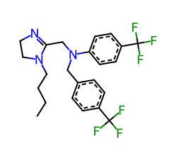 CCCCN1CCN=C1CN(Cc1ccc(C(F)(F)F)cc1)c1ccc(C(F)(F)F)cc1